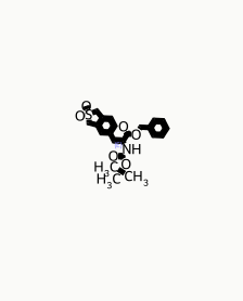 CC(C)(C)OC(=O)N/C(=C/c1ccc2c(c1)CS(=O)(=O)C2)C(=O)OCc1ccccc1